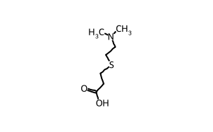 CN(C)CCSCCC(=O)O